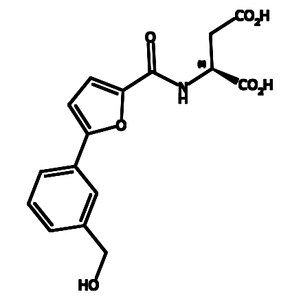 O=C(O)C[C@H](NC(=O)c1ccc(-c2cccc(CO)c2)o1)C(=O)O